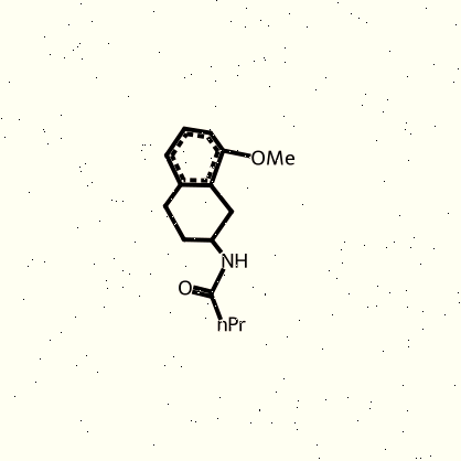 CCCC(=O)NC1CCc2cccc(OC)c2C1